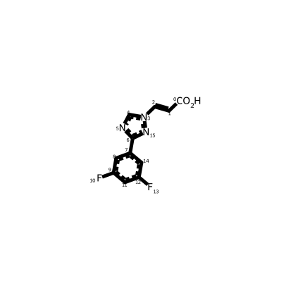 O=C(O)C=Cn1cnc(-c2cc(F)cc(F)c2)n1